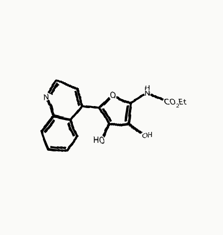 CCOC(=O)Nc1oc(-c2ccnc3ccccc23)c(O)c1O